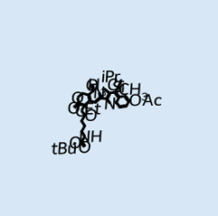 CCC1(OC(=O)CCCNC(=O)OC(C)(C)C)C(=O)OCc2c1cc1n(c2=O)Cc2c-1nc1ccc(OC(C)=O)cc1c2[Si](C)(C)CC(C)C